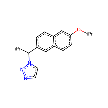 CC(C)Oc1ccc2cc(C(C(C)C)n3ccnn3)ccc2c1